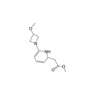 COC(=O)CC1C=CC=C(N2CC(OC)C2)N1